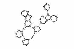 C1=C\c2ccc(-c3ccc4c(c3)c3ccncc3n4-c3ccccn3)cc2-c2cc3oc4ccccc4c3cc2Sc2ccccc2-c2ccccc2/1